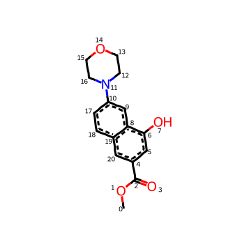 COC(=O)c1cc(O)c2cc(N3CCOCC3)ccc2c1